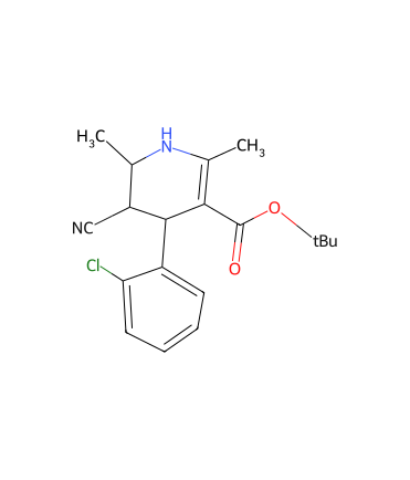 CC1=C(C(=O)OC(C)(C)C)C(c2ccccc2Cl)C(C#N)C(C)N1